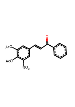 CC(=O)Oc1cc(C=CC(=O)c2ccccc2)cc([N+](=O)[O-])c1OC(C)=O